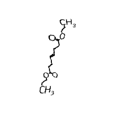 CCCOC(=O)CCC=CCCC(=O)OCCC